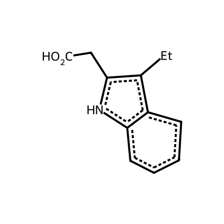 CCc1c(CC(=O)O)[nH]c2ccccc12